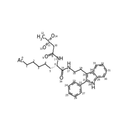 CC(=O)CCCCC[C@H](NC(=O)CS(C)(=O)=O)C(=O)NCCc1c(-c2ccccc2)[nH]c2ccccc12